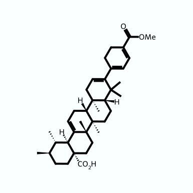 COC(=O)C1=CC=C(C2=CC[C@]3(C)[C@H]4CC=C5[C@@H]6[C@@H](C)[C@H](C)CC[C@]6(C(=O)O)CC[C@@]5(C)[C@]4(C)CC[C@H]3C2(C)C)CC1